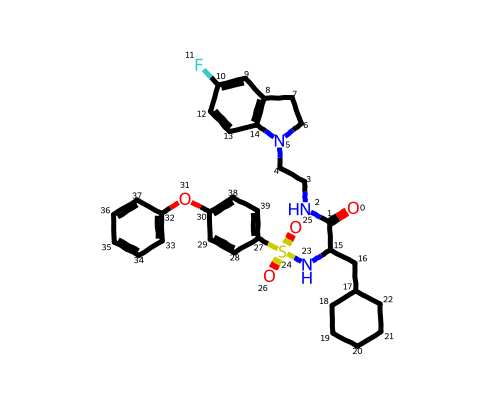 O=C(NCCN1CCc2cc(F)ccc21)C(CC1CCCCC1)NS(=O)(=O)c1ccc(Oc2ccccc2)cc1